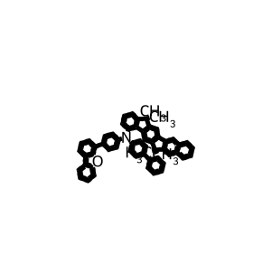 CC1(C)c2cc3c(cc2-c2cc4ccccc4cc21)C(C)(C)c1cccc(N(c2ccc(-c4ccccc4)cc2)c2ccc(-c4cccc5c4oc4ccccc45)cc2)c1-3